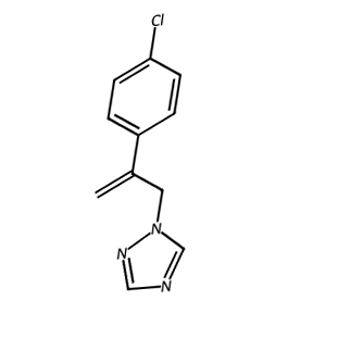 C=C(Cn1cncn1)c1ccc(Cl)cc1